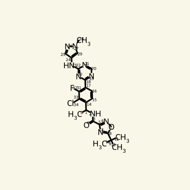 CC(NC(=O)c1noc(C(C)(C)C)n1)c1ccc(-c2ncnc(Nc3cnn(C)c3)n2)c(F)c1Cl